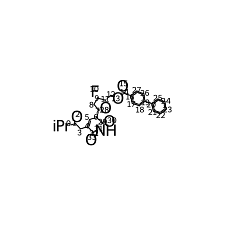 CC(C)C(=O)CC1=CC([C@H]2C[C@H](F)[C@@H](COC(=O)c3ccc(-c4ccccc4)cc3)O2)C(=O)NC1=O